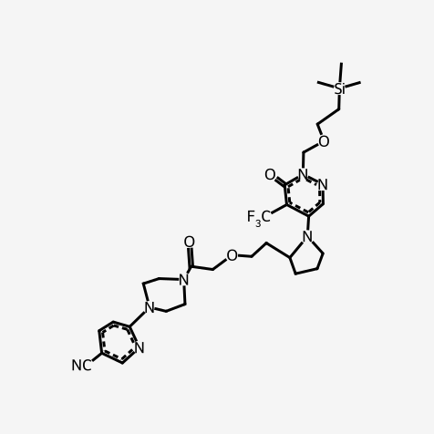 C[Si](C)(C)CCOCn1ncc(N2CCCC2CCOCC(=O)N2CCN(c3ccc(C#N)cn3)CC2)c(C(F)(F)F)c1=O